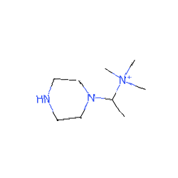 CC(N1CCNCC1)[N+](C)(C)C